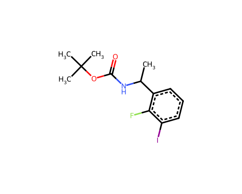 CC(NC(=O)OC(C)(C)C)c1cccc(I)c1F